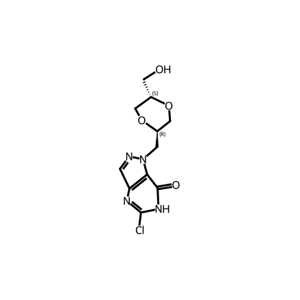 O=c1[nH]c(Cl)nc2cnn(C[C@@H]3CO[C@@H](CO)CO3)c12